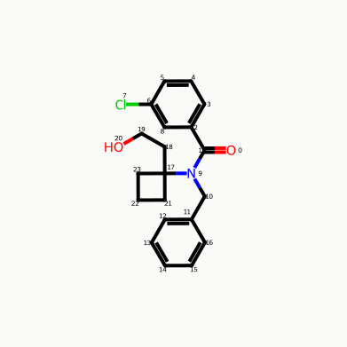 O=C(c1cccc(Cl)c1)N(Cc1ccccc1)C1(CCO)CCC1